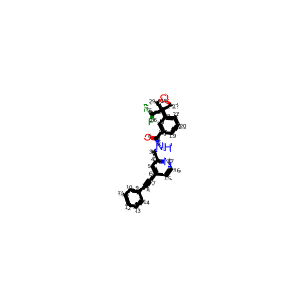 O=C(NCc1cc(C#Cc2ccccc2)ccn1)c1cccc(C2(C(F)F)COC2)c1